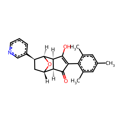 Cc1cc(C)c(C2=C(O)[C@@H]3[C@H]4O[C@@H](C[C@H]4c4cccnc4)[C@@H]3C2=O)c(C)c1